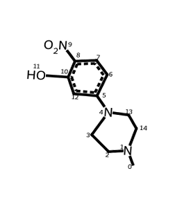 CN1CCN(c2ccc([N+](=O)[O-])c(O)c2)CC1